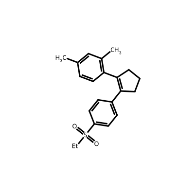 CCS(=O)(=O)c1ccc(C2=C(c3ccc(C)cc3C)CCC2)cc1